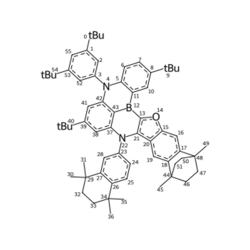 CC(C)(C)c1cc(N2c3ccc(C(C)(C)C)cc3B3c4oc5cc6c(cc5c4N(c4ccc5c(c4)C(C)(C)CCC5(C)C)c4cc(C(C)(C)C)cc2c43)C2(C)CCC6(C)CC2)cc(C(C)(C)C)c1